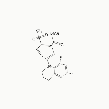 COC(=O)c1cc(N2CCCc3cc(F)cc(F)c32)ccc1S(=O)(=O)C(F)(F)F